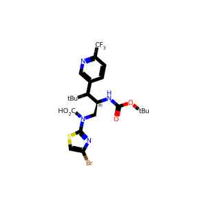 CC(C)(C)OC(=O)N[C@@H](CN(C(=O)O)c1nc(Br)cs1)C(c1ccc(C(F)(F)F)nc1)C(C)(C)C